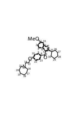 COc1ccc2c(C(=O)c3ccc(OCCN4CCCCCC4)cc3)c(C3CCCCC3)sc2c1